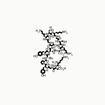 CC[C@H](C)[C@H](NC(=O)[C@H](CCCCN)NC(=O)[C@H](CS)NC(=O)CNC(=O)[C@H](CCCCN)NC(=O)[C@H](CO)NC(=O)[C@H](CCCCN)NC(=O)CNC(=O)[C@@H](NC(=O)[C@H](CO)NC(=O)[C@H](Cc1ccc(O)cc1)NC(=O)[C@@H](NC(=O)[C@@H]1CCCN1C(=O)[C@H](Cc1ccc(O)cc1)NC(=O)CNC(=O)[C@H](CC(=O)O)NC(=O)[C@@H](N)CCCCN)[C@@H](C)CC)[C@@H](C)O)C(=O)O